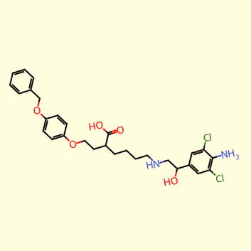 Nc1c(Cl)cc(C(O)CNCCCCC(CCOc2ccc(OCc3ccccc3)cc2)C(=O)O)cc1Cl